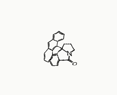 O=C1c2ccccc2C2(c3c4ccccc4cc4ccccc34)CCCN12